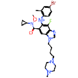 CON(C(=O)c1cc2c(ncn2CCCCN2CCN(C)CC2)c(F)c1Nc1ccc(Br)cc1C)C1CC1